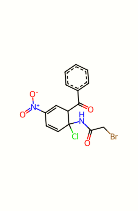 O=C(CBr)NC1(Cl)C=CC([N+](=O)[O-])=CC1C(=O)c1ccccc1